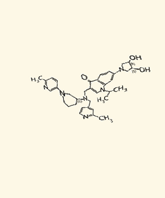 Cc1ccc(N2CCC[C@H](N(Cc3ccnc(C)c3)Cc3cn(C(C)C)c4cc(N5C[C@@H](O)[C@@H](O)C5)ccc4c3=O)C2)cn1